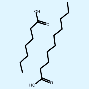 CCCCCCC(=O)O.CCCCCCCCCC(=O)O